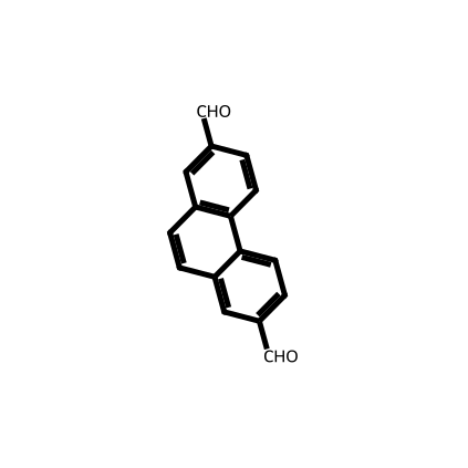 O=Cc1ccc2c(ccc3cc(C=O)ccc32)c1